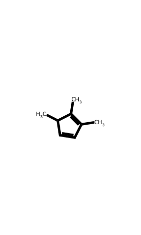 C[C]1C=CC(C)=C1C